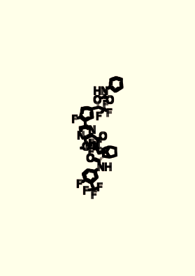 COc1ncc(-c2cc([C@H](OC(=O)Nc3ccccc3)C(F)(F)F)ccc2F)nc1C(=O)N[C@@H]1C2CCC(/C2=C/C(F)(F)F)[C@@H]1C(=O)Nc1ccc(F)c(C(F)(F)F)c1